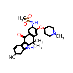 CN1CCC(OC2=CC3=C(CC2NS(C)(=O)=O)C(=O)c2c([nH]c4c2C=CC(C#N)C4)C3(C)C)CC1